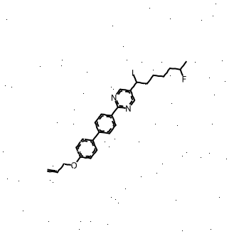 C=CCOc1ccc(-c2ccc(-c3ncc(C(I)CCCCC(C)F)cn3)cc2)cc1